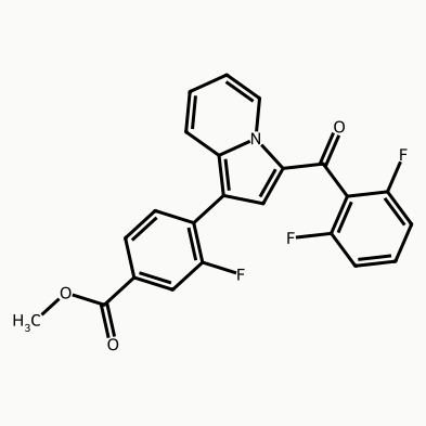 COC(=O)c1ccc(-c2cc(C(=O)c3c(F)cccc3F)n3ccccc23)c(F)c1